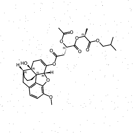 COc1ccc2c3c1O[C@H]1C(OC(=O)C[C@H](OC(C)=O)C(=O)O[C@@H](C)C(=O)OCC(C)C)=CC[C@@]4(O)[C@H](CCC[C@]314)C2